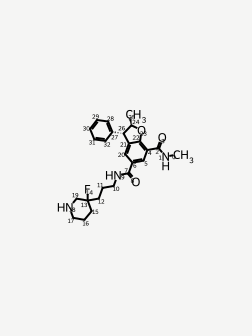 CNC(=O)c1cc(C(=O)NCCCC2(F)CCCNC2)cc2c1O[C@H](C)[C@H]2c1ccccc1